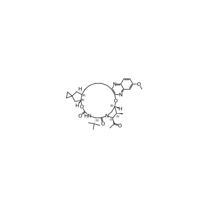 COc1ccc2nc3c(nc2c1)O[C@H]1CN(C(=O)[C@H](C(C)(C)C)NC(=O)O[C@@H]2CC4(CC4)C[C@H]2CCCCC3)[C@H](C(C)=O)[C@@H]1C